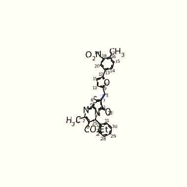 CCOC(=O)C1=C(C)N=c2s/c(=C\c3ccc(-c4ccc(C)c([N+](=O)[O-])c4)o3)c(=O)n2C1c1ccccc1